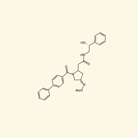 CON=C1CC(CC(=O)NC[C@H](O)c2ccccc2)N(C(=O)c2ccc(-c3ccccc3)cc2)C1